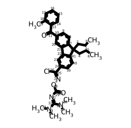 CCCC1(CCC)c2ccc(C(=O)c3ccccc3C)cc2-c2cc(/C(Cl)=N/OC(=O)N=C(N(C)C)N(C)C)ccc21